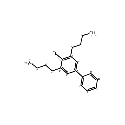 CCCCc1cc(-c2ccccc2)cc(CCCC)c1I